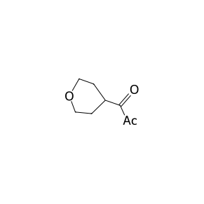 CC(=O)C(=O)C1CCOCC1